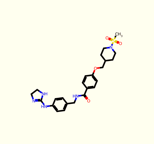 CS(=O)(=O)N1CCC(COc2ccc(C(=O)NCc3ccc(NC4=NCCN4)cc3)cc2)CC1